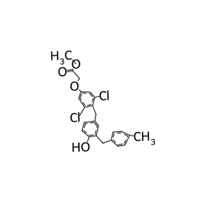 COC(=O)COc1cc(Cl)c(Cc2ccc(O)c(Cc3ccc(C)cc3)c2)c(Cl)c1